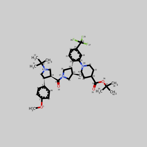 COc1ccc([C@@H]2CN(C(C)(C)C)C[C@H]2C(=O)N2C[C@H](c3ccc(C(F)(F)F)cc3N3CCC(C(=O)OC(C)(C)C)CC3)[C@@H](C)C2)cc1